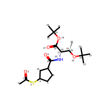 CC(=O)SC1CCC(C(=O)N[C@H](C(=O)OC(C)(C)C)[C@H](C)OC(C)(C)C)C1